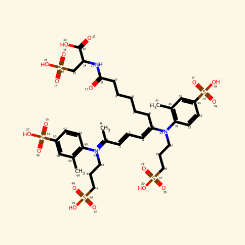 CC(/C=C/C=C(\CCCCCC(=O)NC(CS(=O)(=O)O)C(=O)O)N(CCCS(=O)(=O)O)c1ccc(S(=O)(=O)O)cc1C)=[N+](/CCCS(=O)(=O)O)c1ccc(S(=O)(=O)O)cc1C